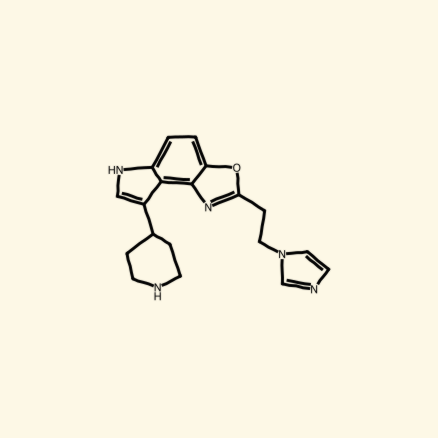 c1cn(CCc2nc3c(ccc4[nH]cc(C5CCNCC5)c43)o2)cn1